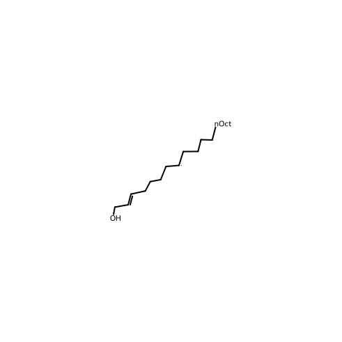 CCCCCCCCCCCC[CH]CCCCC=CCO